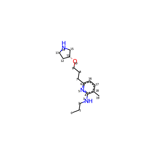 CCCNc1nc(CCCO[C@@H]2CCNC2)ccc1C